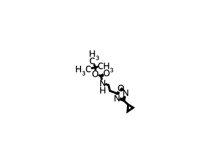 CC(C)(C)OC(=O)NCCc1nc(C2CC2)no1